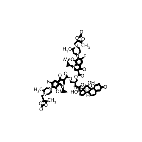 COc1c(N2CCN(Cc3oc(=O)oc3C)C(C)C2)c(F)cc2c(=O)c(C(=O)OCC([CH]C(=O)[C@]3(O)CC[C@@H]4[C@H]5CCC6=CC(=O)C=C[C@@]6(C)C5[C@H](O)C[C@]43C)COC(=O)c3cn(C4CC4)c4c(OC)c(N5CCN(Cc6oc(=O)oc6C)C(C)C5)c(F)cc4c3=O)cn(C3CC3)c12